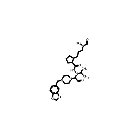 CC(C)N(NC(=O)C1CCCC1CCCN(O)C=O)C(C=O)N1CCN(Cc2ccc3c(c2)OCO3)CC1